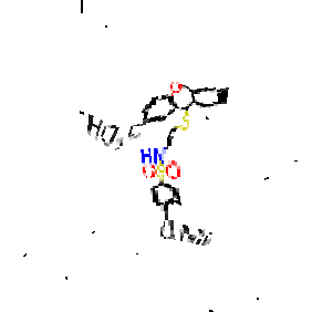 COc1ccc(S(=O)(=O)NCCSC2c3ccccc3COc3ccc(C(=O)O)cc32)cc1